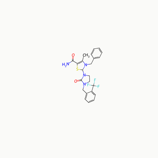 CC1=C(C(N)=O)SC(N2CCN(Cc3ccccc3C(F)(F)F)C2=O)N1Cc1ccccc1